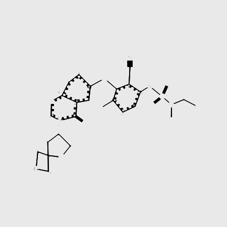 CCN(C)S(=O)(=O)Nc1ccc(F)c(Oc2ccc3ncn([C@@H]4COC5(CNC5)C4)c(=O)c3c2)c1C#N